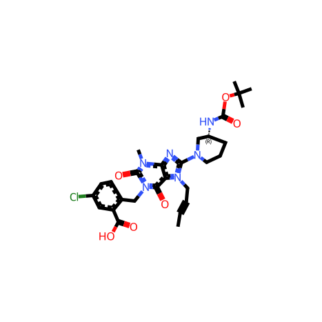 CC#CCn1c(N2CCC[C@@H](NC(=O)OC(C)(C)C)C2)nc2c1c(=O)n(Cc1ccc(Cl)cc1C(=O)O)c(=O)n2C